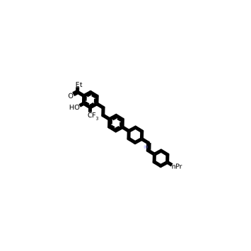 CCCC1CCC(/C=C/C2CCC(c3ccc(CCc4ccc(C(=O)CC)c(O)c4C(F)(F)F)cc3)CC2)CC1